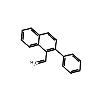 C=Cc1c(-c2ccccc2)ccc2ccccc12